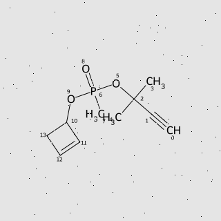 C#CC(C)(C)OP(C)(=O)OC1C=CC1